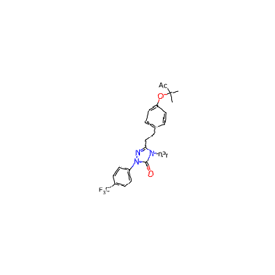 CCCn1c(CCc2ccc(OC(C)(C)C(C)=O)cc2)nn(-c2ccc(C(F)(F)F)cc2)c1=O